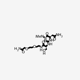 CNNC(=O)[C@@H](CC(N)=O)NC(=O)N[C@H](CO)C(=O)NCCOCCOCC(N)=O